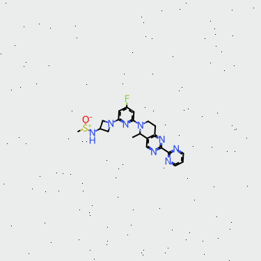 CC1c2cnc(-c3ncccn3)nc2CCN1c1cc(F)cc(N2CC(N[S+](C)[O-])C2)n1